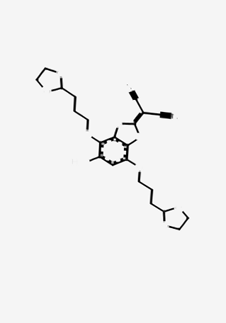 Cc1cc(OCCCC2OCCO2)c2c(c1OCCCC1OCCO1)SC(=C(C#N)C#N)S2